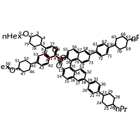 CCCCCCOC1CCC(c2ccc(C(=O)Oc3ccc4cc(-c5ccc(C6CCC(CCC)CC6)cc5)ccc4c3-c3c(OC(=O)c4ccc(C5CCC(OCCCCCC)CC5)cc4)ccc4cc(-c5ccc(C6CCC(CCC)CC6)cc5)ccc34)cc2)CC1